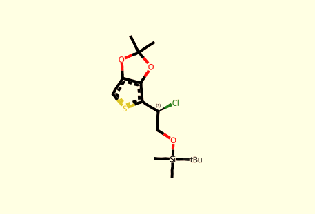 CC1(C)Oc2csc([C@@H](Cl)CO[Si](C)(C)C(C)(C)C)c2O1